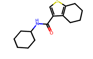 O=C(NC1CCCCC1)c1csc2c1CCCC2